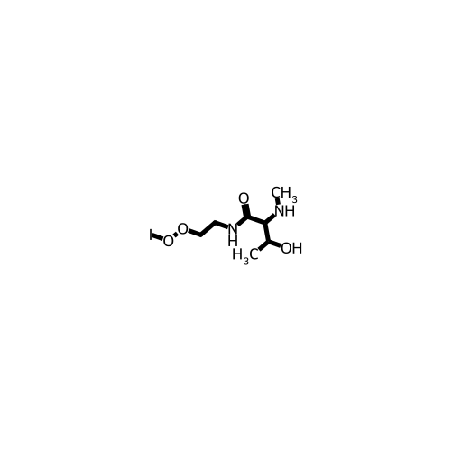 CNC(C(=O)NCCOOI)C(C)O